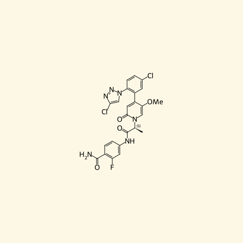 COc1cn([C@@H](C)C(=O)Nc2ccc(C(N)=O)c(F)c2)c(=O)cc1-c1cc(Cl)ccc1-n1cc(Cl)nn1